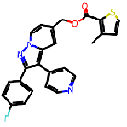 Cc1ccsc1C(=O)OCc1ccn2nc(-c3ccc(F)cc3)c(-c3ccncc3)c2c1